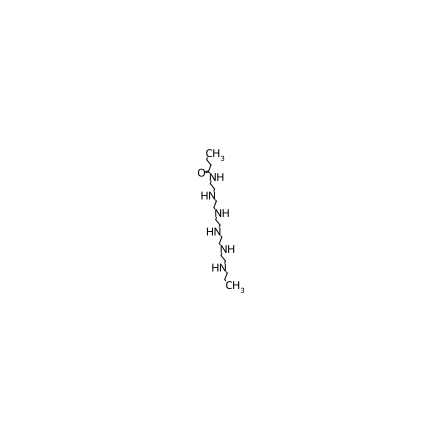 CCCNCCNCCNCCNCCNCCNC(=O)CCC